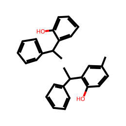 CC(c1ccccc1)c1ccccc1O.Cc1ccc(O)c(C(C)c2ccccc2)c1